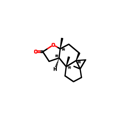 CC12CCC[C@]3(C)[C@H]4CC(=O)O[C@]4(C)CC[C@@]13C2